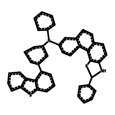 c1ccc(C2Nc3ccc4ccc5cc(N(c6ccccc6)c6cccc(-c7cccc8sc9ccccc9c78)c6)ccc5c4c3S2)cc1